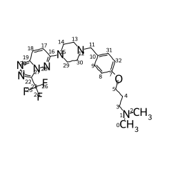 CN(C)CCCOc1ccc(CN2CCN(c3ccc4nnc(C(F)(F)F)n4n3)CC2)cc1